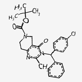 Cc1nc2c(c(=O)n1C(c1ccccc1)c1ccc(Cl)cc1)CN(C(=O)OC(C)(C)C)CC2